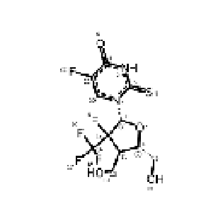 O=c1[nH]c(=S)n([C@@H]2O[C@H](CO)C(CO)C2(F)C(F)(F)F)cc1F